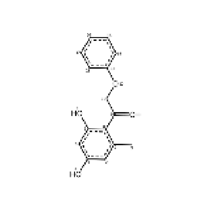 Cc1cc(O)cc(O)c1C(=O)COc1ccccc1